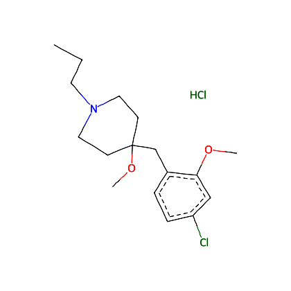 CCCN1CCC(Cc2ccc(Cl)cc2OC)(OC)CC1.Cl